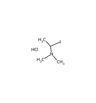 CC(I)N(C)C.Cl